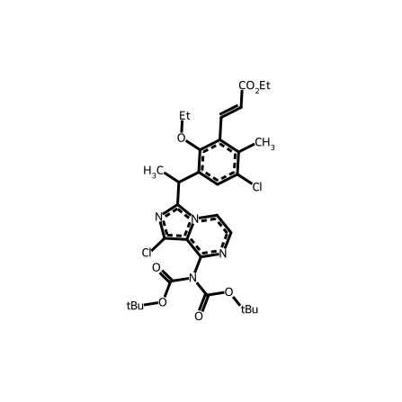 CCOC(=O)C=Cc1c(C)c(Cl)cc(C(C)c2nc(Cl)c3c(N(C(=O)OC(C)(C)C)C(=O)OC(C)(C)C)nccn23)c1OCC